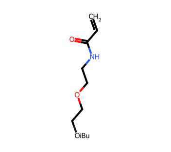 C=CC(=O)NCCOCCOCC(C)C